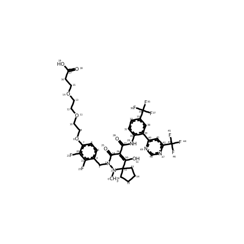 CN1N(Cc2ccc(OCCOCCOCCC(=O)O)c(F)c2F)C(=O)C(C(=O)Nc2ccc(C(F)(F)F)cc2-c2cc(C(F)(F)F)ncn2)=C(O)C12CCCC2